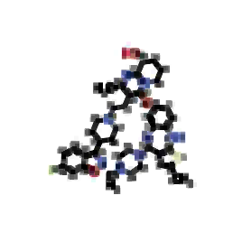 Cc1cc2c(s1)Nc1ccccc1N=C2N1CCN(C)CC1.Cc1nc2n(c(=O)c1CCN1CCC(c3noc4cc(F)ccc34)CC1)CCC[C@H]2O